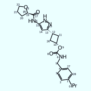 CC(C)c1ccc(CNC(=O)O[C@H]2C[C@@H](c3cc(NC(=O)[C@H]4CCCO4)[nH]n3)C2)cc1